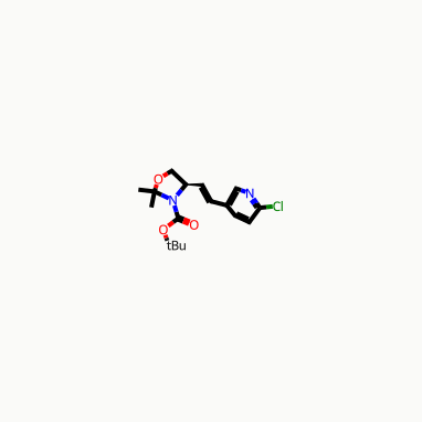 CC(C)(C)OC(=O)N1[C@H](/C=C/c2ccc(Cl)nc2)COC1(C)C